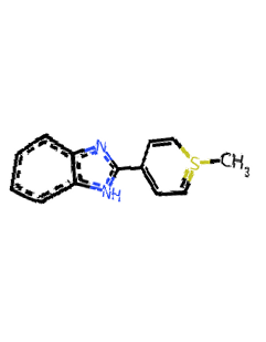 CS1=CC=C(c2nc3ccccc3[nH]2)C=C1